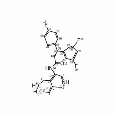 C/C=C(F)\C(CC)=C(/C=N)NC(=O)C[C@@H](c1ccc(F)cc1)c1cc(F)cc(F)c1